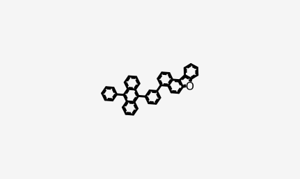 c1ccc(-c2c3ccccc3c(-c3cccc(-c4cccc5c4ccc4oc6ccccc6c45)c3)c3ccccc23)cc1